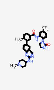 Cc1ccc(C(=O)Nc2cc(C(F)(F)F)ccc2N2CCNC2=O)cc1-c1ccc2nc(NC3CCN(C)CC3)ncc2c1